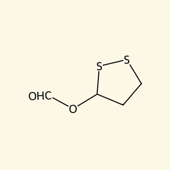 O=COC1CCSS1